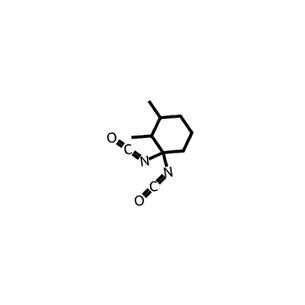 CC1CCCC(N=C=O)(N=C=O)C1C